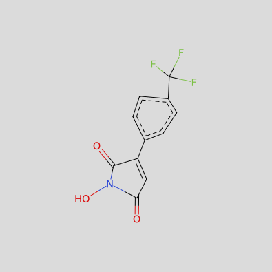 O=C1C=C(c2ccc(C(F)(F)F)cc2)C(=O)N1O